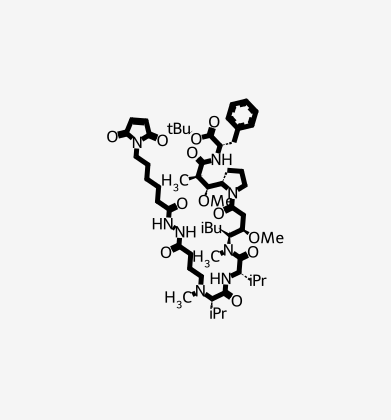 CC[C@H](C)[C@@H]([C@@H](CC(=O)N1CCC[C@H]1[C@H](OC)[C@@H](C)C(=O)N[C@@H](Cc1ccccc1)C(=O)OC(C)(C)C)OC)N(C)C(=O)[C@@H](NC(=O)[C@H](C(C)C)N(C)CCCC(=O)NNC(=O)CCCCCN1C(=O)C=CC1=O)C(C)C